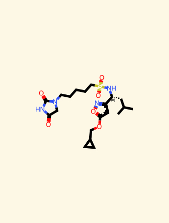 CC(C)C[C@@H](NS(=O)(=O)CCCCCN1CC(=O)NC1=O)c1cc(OCC2CC2)on1